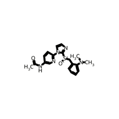 CC(=O)Nc1ccc(-n2ccnc2[S+]([O-])Cc2ccccc2N(C)C)nc1